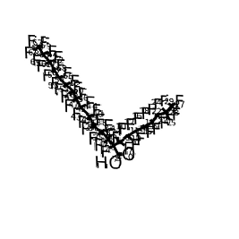 O=C(O)C(F)(C(F)(F)C(F)(F)C(F)(F)C(F)(F)C(F)(F)C(F)(F)C(F)(F)C(F)(F)F)C(F)(F)C(F)(F)C(F)(F)C(F)(F)C(F)(F)C(F)(F)C(F)(F)C(F)(F)C(F)(F)C(F)(F)C(F)(F)C(F)(F)C(F)(F)F